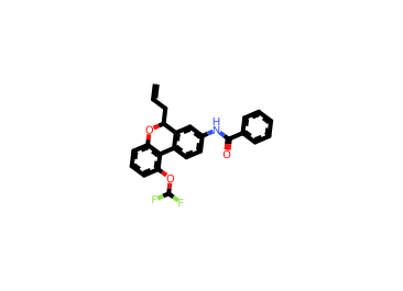 C=CCC1Oc2cccc(OC(F)F)c2-c2ccc(NC(=O)c3ccccc3)cc21